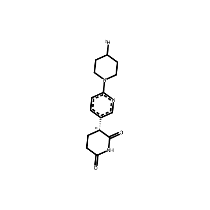 [2H]C1CCN(c2ccc([C@H]3CCC(=O)NC3=O)cn2)CC1